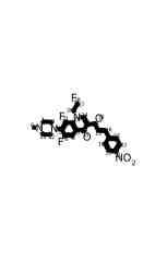 CN1CCN(c2c(F)cc3c(=O)c(C(=O)/C=C/c4ccc([N+](=O)[O-])cc4)cn(CCF)c3c2F)CC1